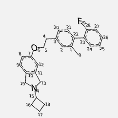 Cc1cc(CCOc2ccc3c(c2)CN(C2CCC2)C3)ccc1-c1ccccc1F